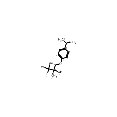 CC(C)c1ccc(OC[C@](C)(O)C(F)(F)F)cc1